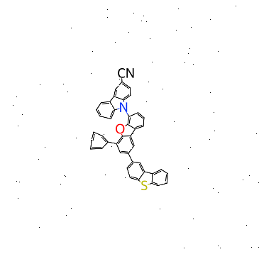 N#Cc1ccc2c(c1)c1ccccc1n2-c1cccc2c1oc1c(-c3ccccc3)cc(-c3ccc4sc5ccccc5c4c3)cc12